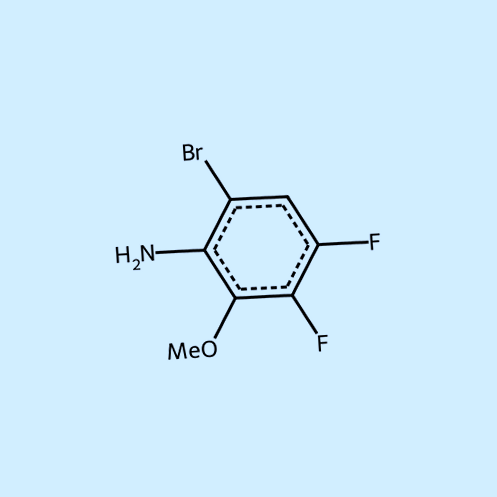 COc1c(N)c(Br)cc(F)c1F